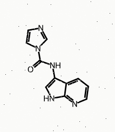 O=C(Nc1c[nH]c2ncccc12)n1ccnc1